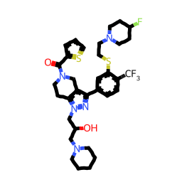 O=C(c1cccs1)N1CCc2c(c(-c3ccc(C(F)(F)F)c(SCCN4CCC(F)CC4)c3)nn2CC(O)CN2CCCCC2)C1